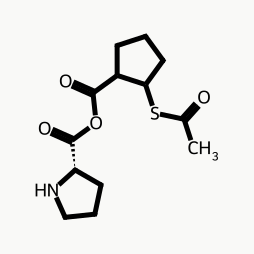 CC(=O)SC1CCCC1C(=O)OC(=O)[C@@H]1CCCN1